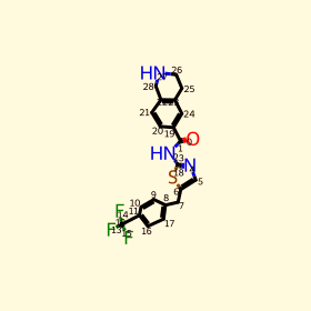 O=C(Nc1ncc(Cc2ccc(C(F)(F)F)cc2)s1)c1ccc2c(c1)CCNC2